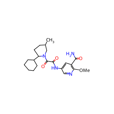 COc1ncc(NC(=O)C(=O)N2CC(C)CCC2C2CCCCC2)cc1C(N)=O